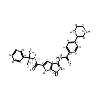 CC(C)(NC(=O)c1cc2c(NC(=O)c3ccc(C4CNCCO4)cc3)n[nH]c2s1)c1ccccc1